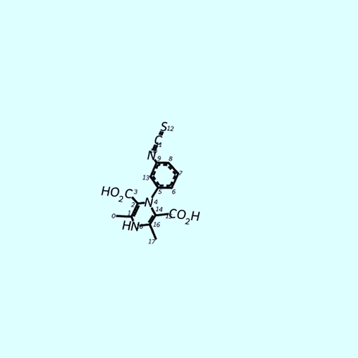 CC1=C(C(=O)O)N(c2cccc(N=C=S)c2)C(C(=O)O)=C(C)N1